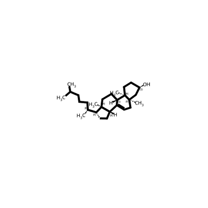 CC(C)CCC[C@@H](C)[C@H]1CC[C@H]2C3=CC[C@]4(C)C[C@@H](O)CC[C@]4(C)[C@H]3CC[C@]12C